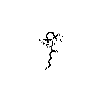 CC1(C)CCCC(C)(C)N1ONC(=O)CCCCBr